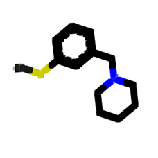 C[CH]Sc1cccc(CN2CCCCC2)c1